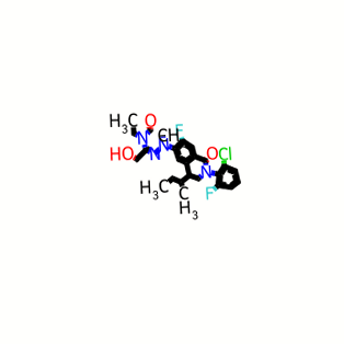 CCC(C)C1CN(c2c(F)cccc2Cl)C(=O)c2cc(F)c(N(C)/N=C(/CO)N(C=O)CC)cc21